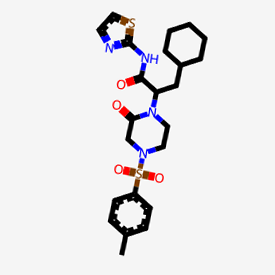 Cc1ccc(S(=O)(=O)N2CCN(C(CC3CCCCC3)C(=O)Nc3nccs3)C(=O)C2)cc1